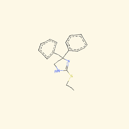 CCSC1=NC(c2ccccc2)(c2ccccc2)CN1